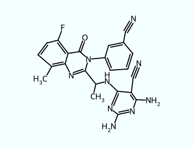 Cc1ccc(F)c2c(=O)n(-c3cccc(C#N)c3)c(C(C)Nc3nc(N)nc(N)c3C#N)nc12